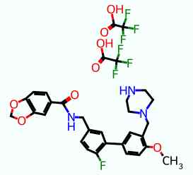 COc1ccc(-c2cc(CNC(=O)c3ccc4c(c3)OCO4)ccc2F)cc1CN1CCNCC1.O=C(O)C(F)(F)F.O=C(O)C(F)(F)F